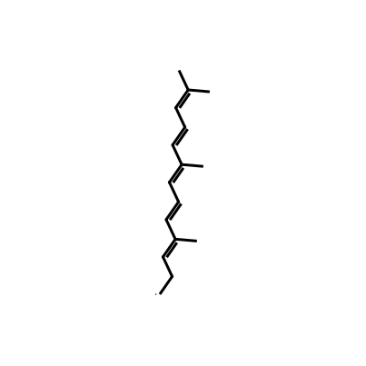 [CH2]C/C=C(C)/C=C/C=C(C)/C=C/C=C(C)C